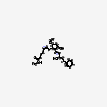 CCNC(=O)CCC/C=C\C[C@@H]1[C@@H](/C=C/[C@@H](O)CCc2ccccc2)[C@H](O)C[C@@H]1OC(C)C